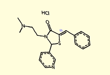 CN(C)CCN1C(=O)/C(=C/c2ccccc2)SC1c1cccnc1.Cl